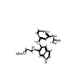 CCCC(Nc1cc(Oc2cc3cc[nH]c3cc2OCCOC)ccn1)C(C)(C)C